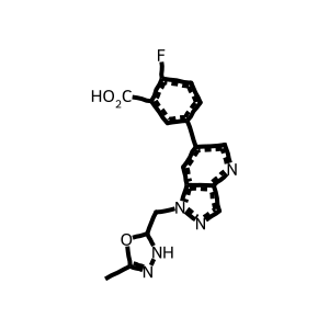 CC1=NNC(Cn2ncc3ncc(-c4ccc(F)c(C(=O)O)c4)cc32)O1